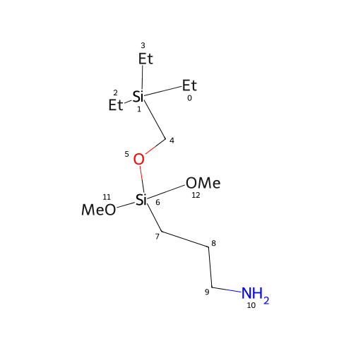 CC[Si](CC)(CC)CO[Si](CCCN)(OC)OC